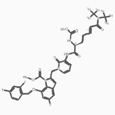 [2H]C([2H])([2H])N(C(=O)/C=C/CC[C@H](NC(=O)OC)C(=O)Nc1cccn(Cc2cc3cc(F)cc(OCc4ccc(F)cc4F)c3n2C(=O)OC(C)(C)C)c1=O)C([2H])([2H])[2H]